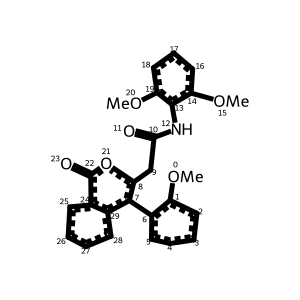 COc1ccccc1-c1c(CC(=O)Nc2c(OC)cccc2OC)oc(=O)c2ccccc12